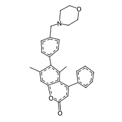 Cc1cc2oc(=O)cc(-c3ccccc3)c2c(C)c1-c1ccc(CN2CCOCC2)cc1